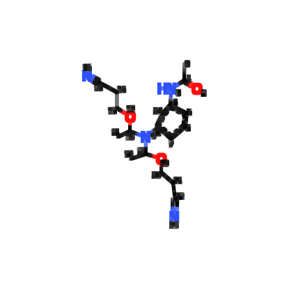 CC(=O)Nc1cccc(N(C(C)OCCC#N)C(C)OCCC#N)c1